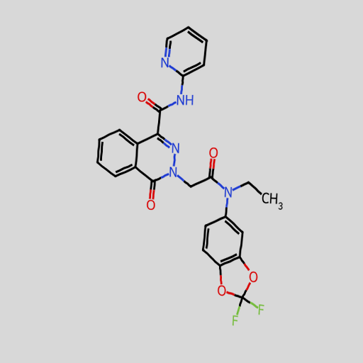 CCN(C(=O)Cn1nc(C(=O)Nc2ccccn2)c2ccccc2c1=O)c1ccc2c(c1)OC(F)(F)O2